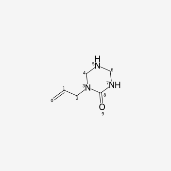 C=CCN1CNCNC1=O